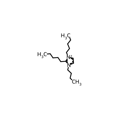 CCCCCc1n(CCCC)cc[n+]1CCCCC